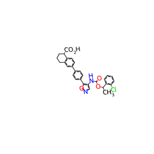 CC(OC(=O)Nc1cnoc1-c1ccc(-c2ccc3c(c2)CCCC3C(=O)O)cc1)c1ccccc1Cl